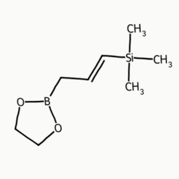 C[Si](C)(C)/C=C/CB1OCCO1